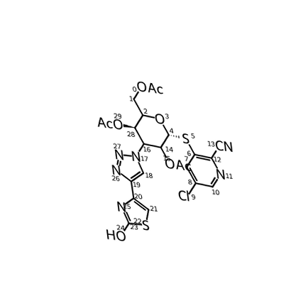 CC(=O)OCC1O[C@H](Sc2cc(Cl)cnc2C#N)C(OC(C)=O)C(n2cc(-c3csc(O)n3)nn2)[C@H]1OC(C)=O